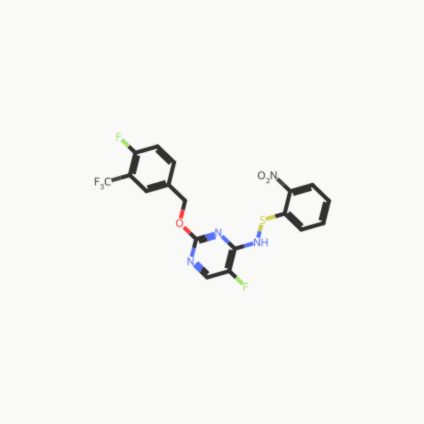 O=[N+]([O-])c1ccccc1SNc1nc(OCc2ccc(F)c(C(F)(F)F)c2)ncc1F